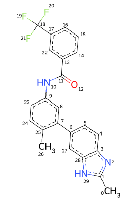 Cc1nc2ccc(-c3cc(NC(=O)c4cccc(C(F)(F)F)c4)ccc3C)cc2[nH]1